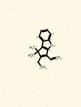 C=CC1=C(CC)C(C)(C)c2c1oc1ccccc21